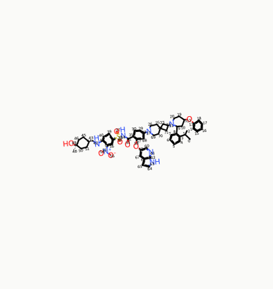 CC(C)c1ccccc1C1CC(Oc2ccccc2)CCN1C1CC2(CCN(c3ccc(C(=O)NS(=O)(=O)c4ccc(NC[C@H]5CC[C@](C)(O)CC5)c([N+](=O)[O-])c4)c(Oc4cnc5[nH]ccc5c4)c3)CC2)C1